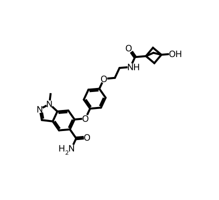 Cn1ncc2cc(C(N)=O)c(Oc3ccc(OCCNC(=O)C45CC(O)(C4)C5)cc3)cc21